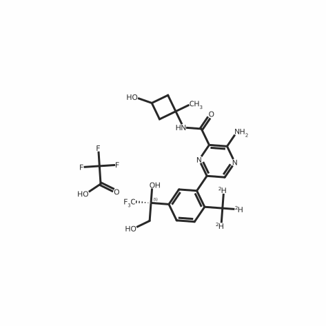 O=C(O)C(F)(F)F.[2H]C([2H])([2H])c1ccc([C@](O)(CO)C(F)(F)F)cc1-c1cnc(N)c(C(=O)NC2(C)CC(O)C2)n1